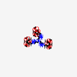 CC1(C)OC2[C@H](OC(Cn3cc(CN(Cc4cn(CC5O[C@@H]6OC(C)(C)OC6[C@H]6OC(C)(C)O[C@@H]56)nn4)Cc4cn(CC5O[C@@H]6OC(C)(C)OC6[C@H]6OC(C)(C)O[C@@H]56)nn4)nn3)[C@@H]3OC(C)(C)O[C@H]23)O1